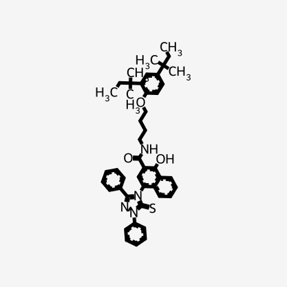 CCC(C)(C)c1ccc(OCCCCNC(=O)c2cc(-n3c(-c4ccccc4)nn(-c4ccccc4)c3=S)c3ccccc3c2O)c(C(C)(C)CC)c1